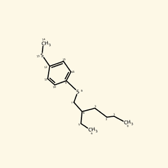 CCCCC(CC)CSc1ccc(SC)cc1